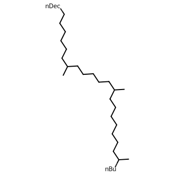 CCCCCCCCCCCCCCCCC(C)CCCCCC(C)CCCCCCCC(C)CCCC